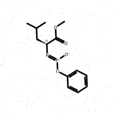 COC(=O)[C@H](CC(C)C)N=[P+]([O-])Oc1ccccc1